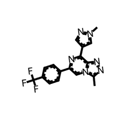 Cc1nnc2c(-c3cnn(C)c3)nc(-c3ccc(C(F)(F)F)cc3)cn12